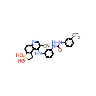 N#Cc1cnc2ccc3c(c2c1Nc1cccc(NC(=O)Nc2cccc(C(F)(F)F)c2)c1)CCS3(O)O